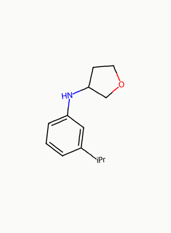 CC(C)c1cccc(NC2CCOC2)c1